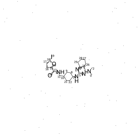 CN(C)c1nc(NC2CCC(CNC(=O)c3ccc(I)o3)CC2)nc2c1CCCC2